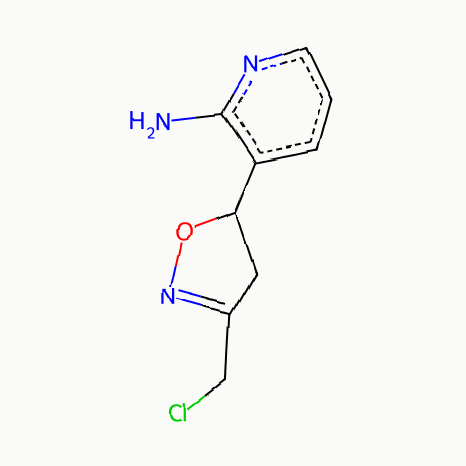 Nc1ncccc1C1CC(CCl)=NO1